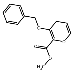 COC(=O)C1=C(OCc2ccccc2)CC=CO1